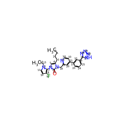 CCCCc1cn(-c2c(F)ccn2CC)c(=O)n1Cc1cc(-c2cccc(-c3nnn[nH]3)c2)ccn1